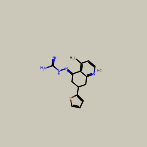 Cc1ccnc2c1C(=NNC(=N)N)CC(c1cccs1)C2.Cl